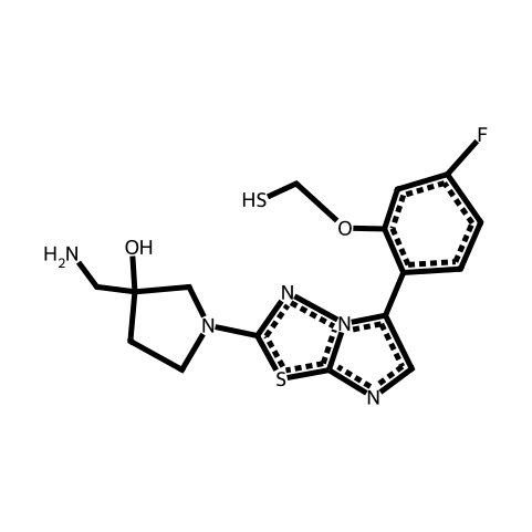 NCC1(O)CCN(c2nn3c(-c4ccc(F)cc4OCS)cnc3s2)C1